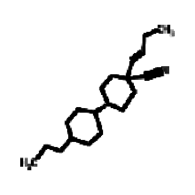 CCC=C[C@]1(C#N)CC[C@@H](C2CCC(CCC)CC2)CC1